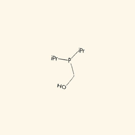 CC(C)P(CO)C(C)C